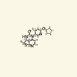 Cc1cc(OC2CCCC2)ncc1N1C(=O)Nc2c(C)sc3nccc1c23